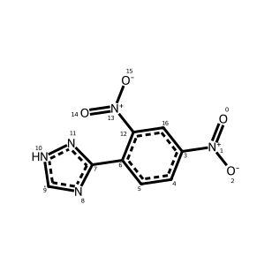 O=[N+]([O-])c1ccc(-c2n[c][nH]n2)c([N+](=O)[O-])c1